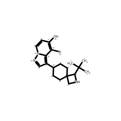 CC(C)(C)C1NCC12CCC(c1cnn3ccc(O)c(Br)c13)CC2